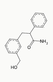 NC(=O)C(Cc1cccc(CO)c1)c1[c]cccc1